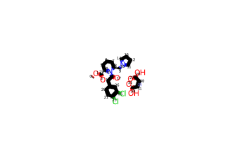 COC(=O)[C@@H]1CCC[C@@H](CN2CCCC2)N1C(=O)Cc1ccc(Cl)c(Cl)c1.O=C(O)/C=C\C(=O)O